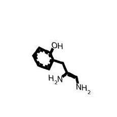 NC=C(N)Cc1ccccc1O